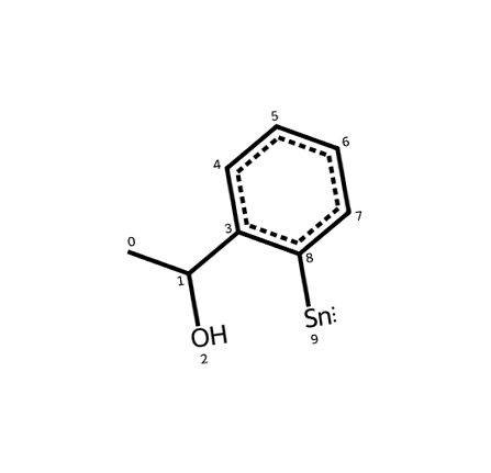 CC(O)c1cccc[c]1[Sn]